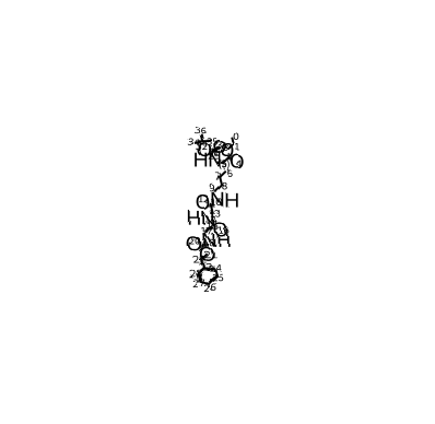 CCOC(=O)[C@H](CCCCNC(=O)CNC(=O)CNC(=O)OCc1ccccc1)NC(=O)OC(C)(C)C